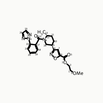 COCCOC(=O)c1cc([C@@H]2CC[C@@H](C)N(C(=O)c3ccccc3-n3nccn3)C2)no1